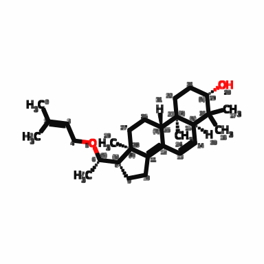 CC(C)=CCO[C@@H](C)[C@H]1CCC2=C3C=C[C@@H]4C(C)(C)[C@@H](O)CC[C@]4(C)[C@H]3CC[C@@]21C